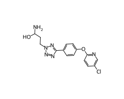 NC(O)CCn1nnc(-c2ccc(Oc3ccc(Cl)cn3)cc2)n1